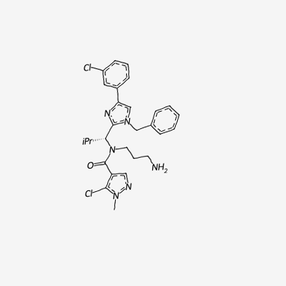 CC(C)[C@H](c1nc(-c2cccc(Cl)c2)cn1Cc1ccccc1)N(CCCN)C(=O)c1cnn(C)c1Cl